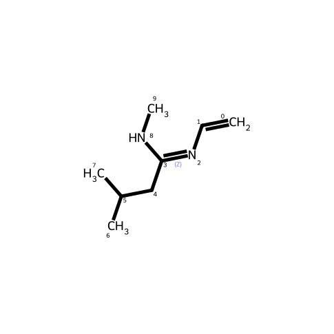 C=C/N=C(/CC(C)C)NC